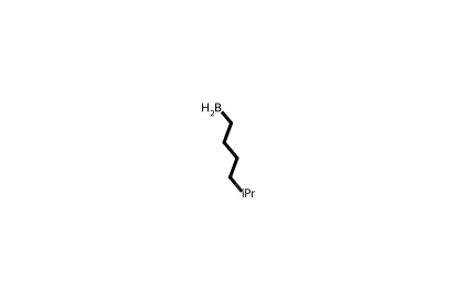 BCCCCC(C)C